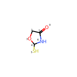 O=C1COC(S)N1